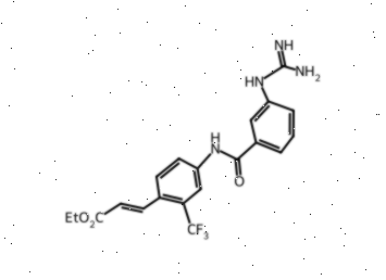 CCOC(=O)C=Cc1ccc(NC(=O)c2cccc(NC(=N)N)c2)cc1C(F)(F)F